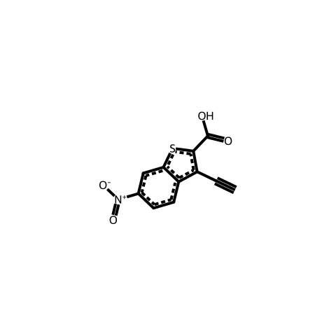 C#Cc1c(C(=O)O)sc2cc([N+](=O)[O-])ccc12